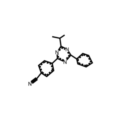 CC(C)c1nc(-c2ccccc2)nc(-c2ccc(C#N)cc2)n1